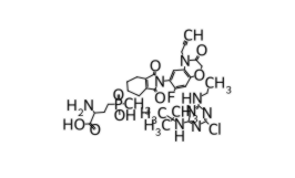 C#CCN1C(=O)COc2cc(F)c(N3C(=O)C4=C(CCCC4)C3=O)cc21.CCNc1nc(Cl)nc(NC(C)(C)C)n1.CP(=O)(O)CCC(N)C(=O)O